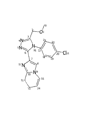 COCc1nnc(-c2cn3c(n2)CCC=C3)n1-c1ccc(Cl)cc1